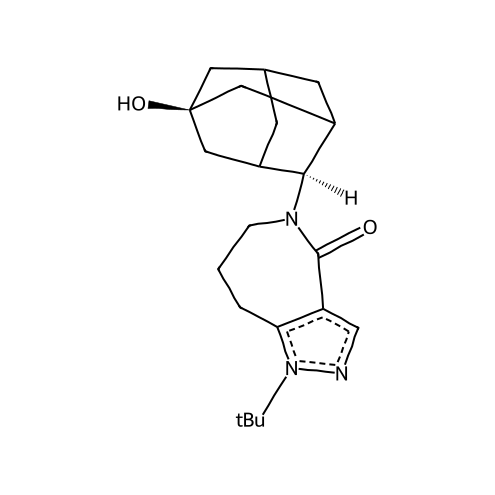 CC(C)(C)n1ncc2c1CCCN([C@H]1C3CC4CC1C[C@@](O)(C4)C3)C2=O